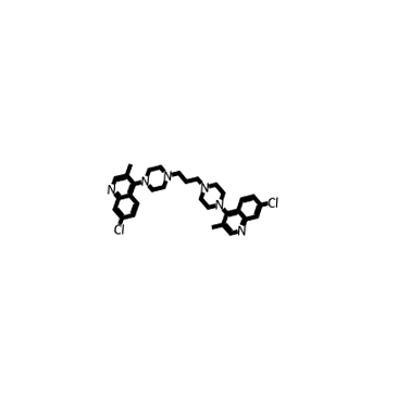 Cc1cnc2cc(Cl)ccc2c1N1CCN(CCCN2CCN(c3c(C)cnc4cc(Cl)ccc34)CC2)CC1